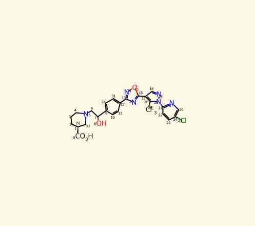 O=C(O)[C@H]1CCCN(CC(O)c2ccc(-c3noc(-c4cnn(-c5ccc(Cl)cn5)c4C(F)(F)F)n3)cc2)C1